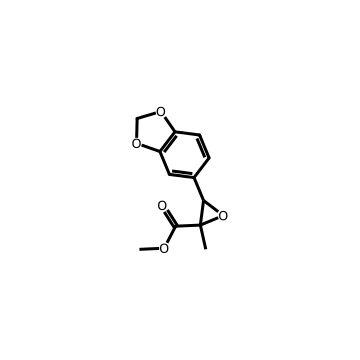 COC(=O)C1(C)OC1c1ccc2c(c1)OCO2